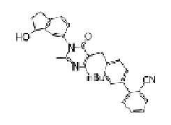 CCCCc1nc(C)n(-c2ccc3c(c2)C(O)CC3)c(=O)c1Cc1ccc(-c2ccccc2C#N)cc1